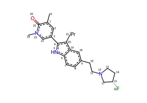 Cc1cc(-c2[nH]c3ccc(CCN4CC[C@H](F)C4)cc3c2C(C)C)cn(C)c1=O